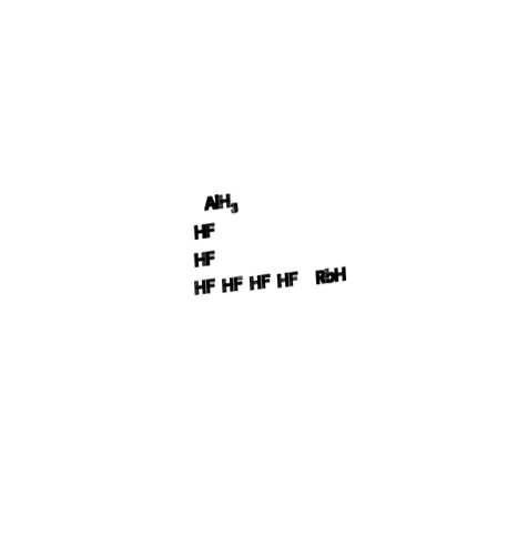 F.F.F.F.F.F.[AlH3].[RbH]